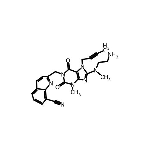 CC#CCn1c(N(C)CCN)nc2c1c(=O)n(Cc1ccc3cccc(C#N)c3n1)c(=O)n2C